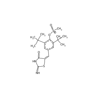 CC(C)(C)c1cc(/C=C2/SC(=N)NC2=O)cc(C(C)(C)C)c1OS(C)(=O)=O